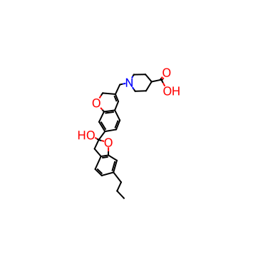 CCCc1ccc2c(c1)OC(O)(c1ccc3c(c1)OCC(CN1CCC(C(=O)O)CC1)=C3)C2